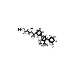 Nc1ncnc2c1c(-c1ccccc1)cn2-c1cccc(C(=O)NCCCO)c1